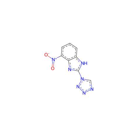 O=[N+]([O-])c1cccc2[nH]c(-n3cnnn3)nc12